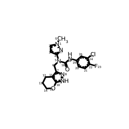 Cn1ccc(N(Cc2n[nH]c3c2CCCO3)C(=O)Nc2ccc(F)c(Cl)c2)n1